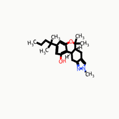 CCCC(C)(C)c1cc(O)c2c(c1)OC(C)(C)[C@@H]1Cc3cn(C)nc3C[C@@H]21